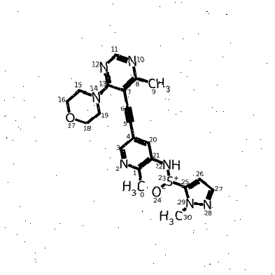 Cc1ncc(C#Cc2c(C)ncnc2N2CCOCC2)cc1N[S+]([O-])c1ccnn1C